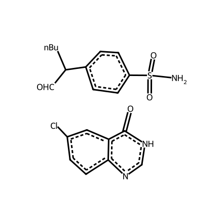 CCCCC(C=O)c1ccc(S(N)(=O)=O)cc1.O=c1[nH]cnc2ccc(Cl)cc12